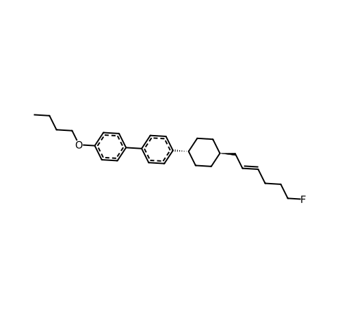 CCCCOc1ccc(-c2ccc([C@H]3CC[C@H](C/C=C/CCCF)CC3)cc2)cc1